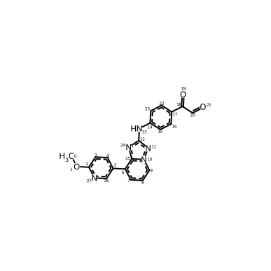 COc1ccc(-c2cccn3nc(Nc4ccc(C(=O)C=O)cc4)nc23)cn1